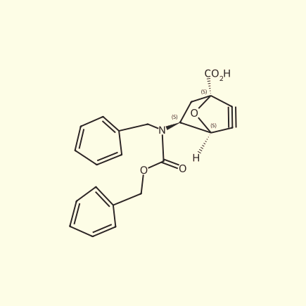 O=C(OCc1ccccc1)N(Cc1ccccc1)[C@H]1C[C@@]2(C(=O)O)C#C[C@@H]1O2